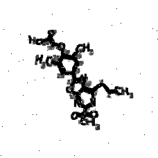 CCCc1nc(S(C)(=O)=O)nc2oc(-c3cc(C)c(OCC(=O)O)c(C)c3)nc12